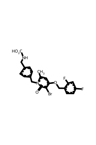 Cc1cc(OCc2ccc(F)cc2F)c(Br)c(=O)n1Cc1ccc(CNC(=O)O)cc1